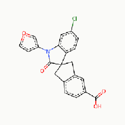 O=C(O)c1ccc2c(c1)CC1(C2)C(=O)N(c2ccoc2)c2cc(Cl)ccc21